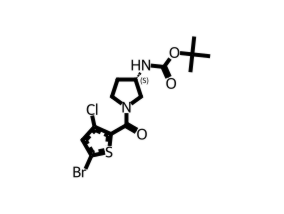 CC(C)(C)OC(=O)N[C@H]1CCN(C(=O)c2sc(Br)cc2Cl)C1